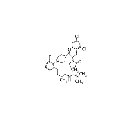 CC(CCc1cccc(F)c1N1CCN(C(=O)C(Cc2ccc(Cl)cc2Cl)N2CCCC2=O)CC1)CNC(C)N(C)C